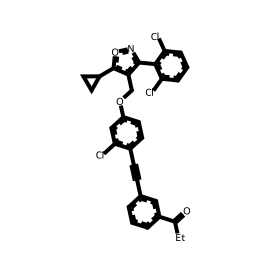 CCC(=O)c1cccc(C#Cc2ccc(OCc3c(-c4c(Cl)cccc4Cl)noc3C3CC3)cc2Cl)c1